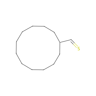 S=CC1CCCCCCCCCCC1